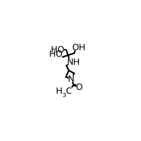 CC(=O)N1CC(CNC(CO)(CO)CO)C1